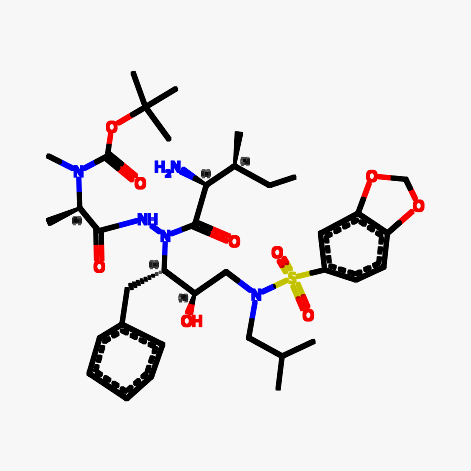 CC[C@H](C)[C@H](N)C(=O)N(NC(=O)[C@@H](C)N(C)C(=O)OC(C)(C)C)[C@@H](Cc1ccccc1)[C@H](O)CN(CC(C)C)S(=O)(=O)c1ccc2c(c1)OCO2